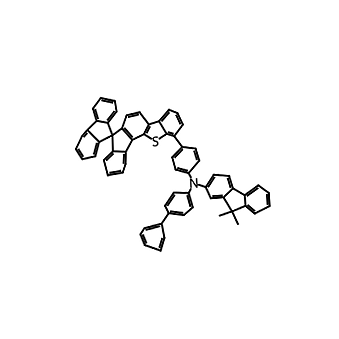 CC1(C)c2ccccc2-c2ccc(N(c3ccc(-c4ccccc4)cc3)c3ccc(-c4cccc5c4sc4c6c(ccc45)C4(c5ccccc5-c5ccccc54)c4ccccc4-6)cc3)cc21